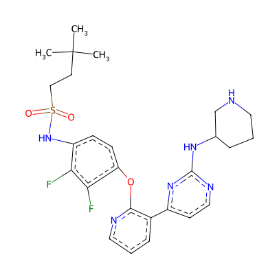 CC(C)(C)CCS(=O)(=O)Nc1ccc(Oc2ncccc2-c2ccnc(NC3CCCNC3)n2)c(F)c1F